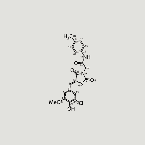 COc1cc(/C=C2\SC(=O)N(CC(=O)Nc3ccc(C)cc3)C2=O)cc(Cl)c1O